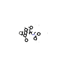 C=C/C(=C\c1sc2c(c1C)N(c1ccc(C(C)(C)C)cc1C)c1cc(C)cc3c1B2c1cc(-c2ccccc2)cc2c1N3C1(C)CCCCC21C)N(c1ccc(C(C)(C)C)cc1)c1ccc(C(C)(C)C)cc1